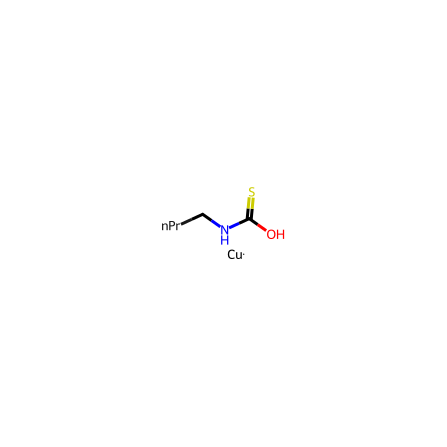 CCCCNC(O)=S.[Cu]